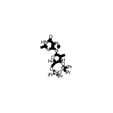 Cc1nc2c(ncn2[C@@H]2O[C@@H]3CO[Si](C(C)C)(C(C)C)O[Si](C(C)C)(C(C)C)O[C@@H]3C2C)c(=O)[nH]1